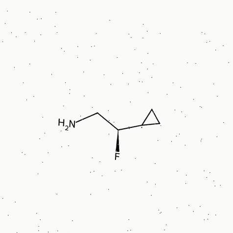 NC[C@H](F)[C]1CC1